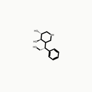 OC[C@@H](c1ccccc1)C1CNC[C@@H](O)[C@@H]1O